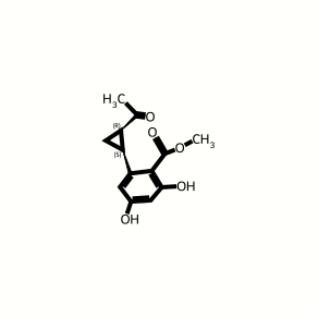 COC(=O)c1c(O)cc(O)cc1[C@H]1C[C@H]1C(C)=O